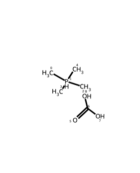 C[PH](C)(C)C.O=C(O)O